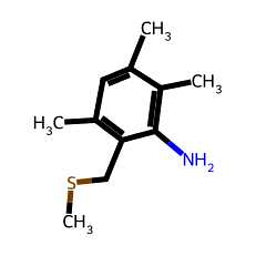 CSCc1c(C)cc(C)c(C)c1N